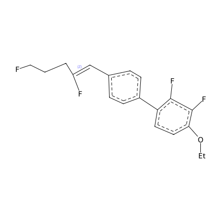 CCOc1ccc(-c2ccc(/C=C(\F)CCCF)cc2)c(F)c1F